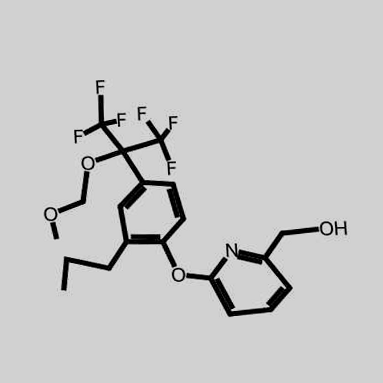 CCCc1cc(C(OCOC)(C(F)(F)F)C(F)(F)F)ccc1Oc1cccc(CO)n1